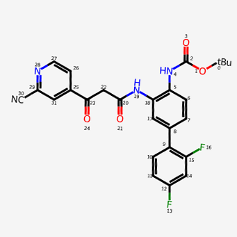 CC(C)(C)OC(=O)Nc1ccc(-c2ccc(F)cc2F)cc1NC(=O)CC(=O)c1ccnc(C#N)c1